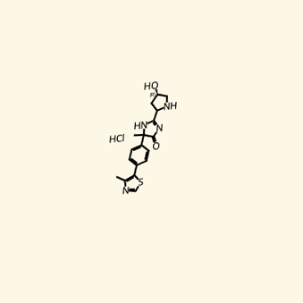 Cc1ncsc1-c1ccc(C2(C)NC(C3C[C@@H](O)CN3)=NC2=O)cc1.Cl